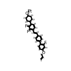 C=CCOc1ccc(-c2ccc(/C=C/c3ccc(C4CCC(OCC)CC4)c(F)c3F)cc2)c(F)c1